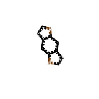 c1cc2cc3sccc3cc2s1